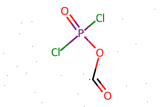 O=[C]OP(=O)(Cl)Cl